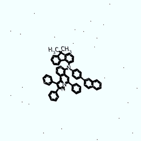 CC1(C)c2ccccc2-c2c(N(c3ccc(-c4ccc5ccccc5c4)cc3)c3cccc4c3cc(-c3ccccc3)n3nc(-c5ccccc5)c(-c5ccccc5)c43)cccc21